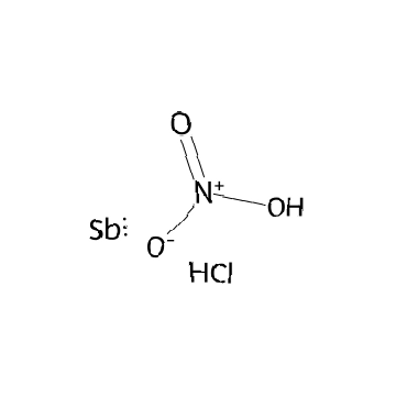 Cl.O=[N+]([O-])O.[Sb]